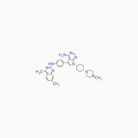 Cc1ccc2c(C)nc(Nc3ccc(-c4cn([C@H]5CC[C@@H](N6CCN(C)CC6)CC5)c5ncnc(N)c45)cc3)nc2c1